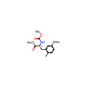 CNc1ccc(C)c(C[C@H](NC(=O)OC(C)(C)C)C(=O)OC)c1